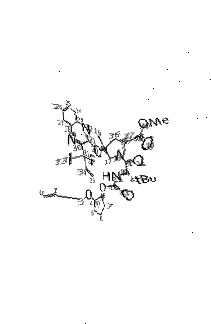 C=CCO[C@@H]1CCC[C@H]1OC(=O)N[C@H](C(=O)N1C[C@](C)(Oc2nc3ccccc3nc2C(F)(I)C=C)C[C@H]1C(=O)OC)C(C)(C)C